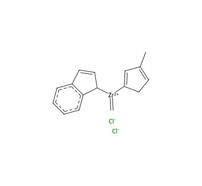 [CH2]=[Zr+2]([C]1=CC(C)=CC1)[CH]1C=Cc2ccccc21.[Cl-].[Cl-]